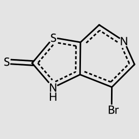 S=c1[nH]c2c(Br)cncc2s1